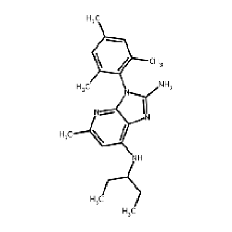 CCC(CC)Nc1cc(C)nc2c1nc(N)n2-c1c(C)cc(C)cc1C